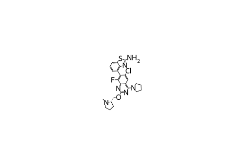 CN1CCC[C@H]1COc1nc(N2CCCC2)c2cc(Cl)c(-c3cccc4sc(N)nc34)c(F)c2n1